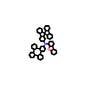 c1ccc2c(c1)-c1ccccc1-c1ccc(N(c3ccc4c(c3)C3(c5ccccc5-c5ccccc53)c3ccccc3-4)c3cccc4c3oc3ccccc34)cc1-c1ccccc1-2